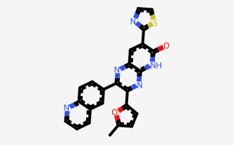 Cc1ccc(-c2nc3[nH]c(=O)c(-c4nccs4)cc3nc2-c2ccc3ncccc3c2)o1